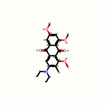 CCN(CC)c1cc2c(c(OC)c1C)C(=O)c1c(OC)cc(OC)cc1C2=O